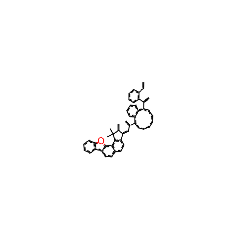 C=Cc1ccccc1C(=C)c1ccccccc(C(=C)/C=C2\C(=C)C(C)(C)c3c2ccc2ccc4c5ccccc5oc4c32)c2ccccc12